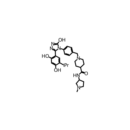 CC(C)c1cc(-c2nnc(O)n2-c2ccc(CN3CCC(C(=O)NC4CCN(C)C4)CC3)cc2)c(O)cc1O